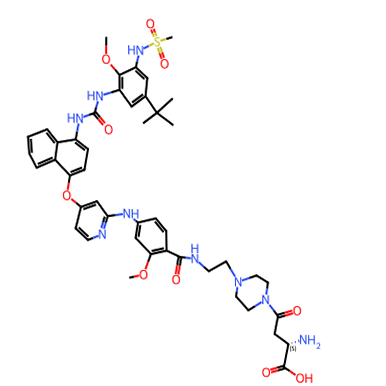 COc1cc(Nc2cc(Oc3ccc(NC(=O)Nc4cc(C(C)(C)C)cc(NS(C)(=O)=O)c4OC)c4ccccc34)ccn2)ccc1C(=O)NCCN1CCN(C(=O)C[C@H](N)C(=O)O)CC1